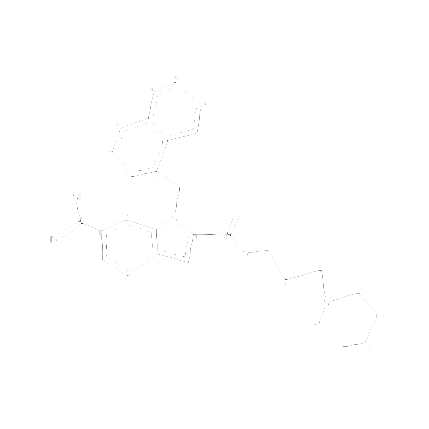 N=C(N)c1ccc2cc(C(=O)NCCCN3CCCCC3)n(Cc3cccc4ccccc34)c2c1